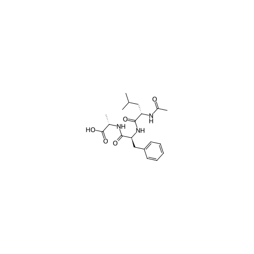 CC(=O)N[C@@H](CC(C)C)C(=O)N[C@@H](Cc1ccccc1)C(=O)N[C@@H](C)C(=O)O